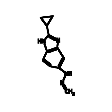 C=NNc1ccc2[nH]c(C3CC3)nc2c1